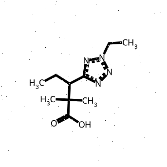 CCC(c1nnn(CC)n1)C(C)(C)C(=O)O